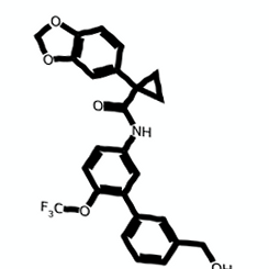 O=C(Nc1ccc(OC(F)(F)F)c(-c2cccc(CO)c2)c1)C1(c2ccc3c(c2)OCO3)CC1